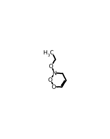 CCON1CC=COO1